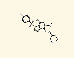 COc1cc(Br)c2c(ccn2S(=O)(=O)c2ccc(C)cc2)c1COC1CCCCO1